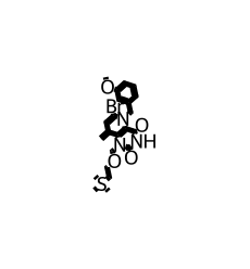 C=C1C=C(Br)N(Cc2cccc(OC)c2)c2c1n(COCCS(C)(C)C)c(=O)[nH]c2=O